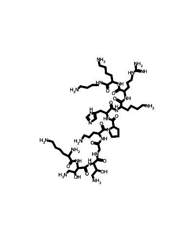 N=C(N)NCCCC(NC(=O)C(CCCCN)NC(=O)C(Cc1cnc[nH]1)NC(=O)C1CCCN1C(=O)C(CCCN)NC(=O)CNC(=O)C(NC(=O)C(NC(=O)C(N)CCCCN)C(O)CN)C(O)CN)C(=O)NC(CCCCN)C(=O)NCCCCN